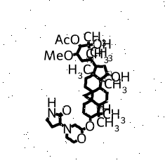 COC(C[C@@H](C)C1C[C@H](O)[C@@]2(C)C3CC[C@H]4C(C)(C)C(OC5CN(C6CCNC6=O)CCO5)CCC45CC35CCC12C)C(OC(C)=O)C(C)(C)O